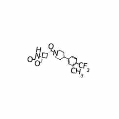 Cc1cc(C2CCN(C(=O)[C@H]3C[C@]4(COC(=O)N4)C3)CC2)ccc1C(F)(F)F